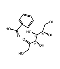 O=C(CO)[C@H](O)[C@@H](O)[C@H](O)CO.O=C(O)c1ccccc1